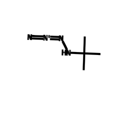 CC(C)(C)NN=[N+]=[N-]